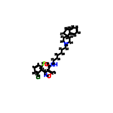 Cc1onc(-c2c(F)cccc2Cl)c1C(=O)NCCCCCCN1CCC2(CCc3ccccc32)CC1